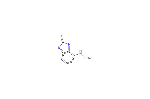 O=[C]Nc1cccc2c1=NC(=O)N=2